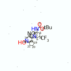 CC(C)(C)OC(=O)NC1CC(C(F)(F)F)CN(C2=C([N+](=O)[O-])CN(O)C3=C2CCC3)C1